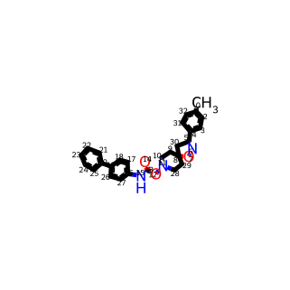 Cc1ccc(C2=NOC3(CCN(OC(=O)Nc4ccc(-c5ccccc5)cc4)CC3)C2)cc1